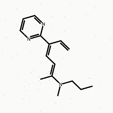 C=C/C(=C\C=C(/C)N(C)CCC)c1ncccn1